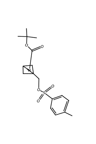 Cc1ccc(S(=O)(=O)OCC23CC(C2)N(C(=O)OC(C)(C)C)C3)cc1